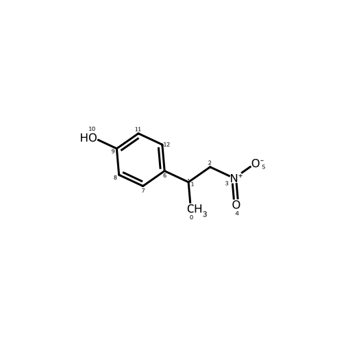 C[C](C[N+](=O)[O-])c1ccc(O)cc1